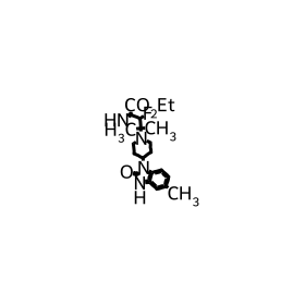 CCOC(=O)C(=N)C(F)C(C)(C)N1CCC(n2c(=O)[nH]c3cc(C)ccc32)CC1